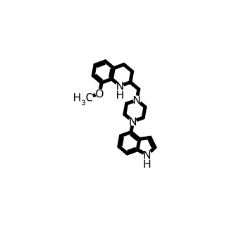 COc1cccc2c1NC(CN1CCN(c3cccc4[nH]ccc34)CC1)CC2